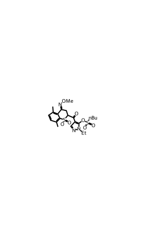 CCCCS(=O)(=O)Oc1c(C(=O)C2CC(=NOC)c3c(C)ccc(C)c3S2(=O)=O)cnn1CC